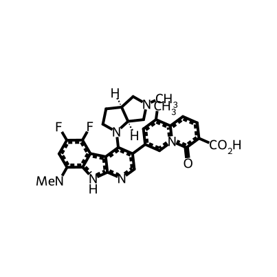 CNc1cc(F)c(F)c2c1[nH]c1ncc(-c3cc(C)c4ccc(C(=O)O)c(=O)n4c3)c(N3CC[C@H]4CN(C)C[C@H]43)c12